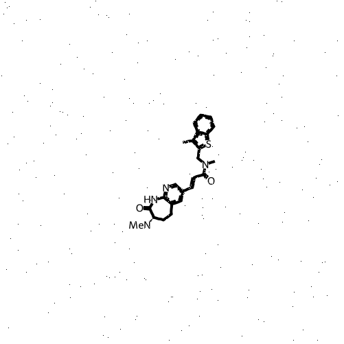 CN[C@H]1CCc2cc(/C=C/C(=O)N(C)Cc3sc4ccccc4c3C)cnc2NC1=O